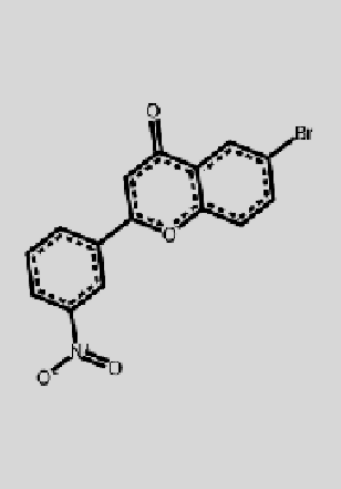 O=c1cc(-c2cccc([N+](=O)[O-])c2)oc2ccc(Br)cc12